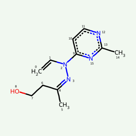 C=CN(/N=C(/C)CCO)c1ccnc(C)n1